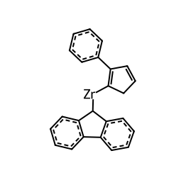 C1=CC(c2ccccc2)=[C]([Zr][CH]2c3ccccc3-c3ccccc32)C1